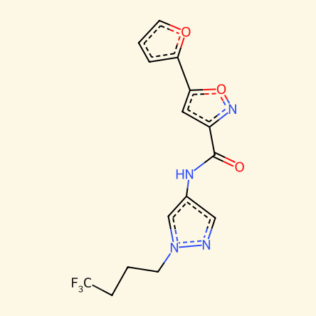 O=C(Nc1cnn(CCCC(F)(F)F)c1)c1cc(-c2ccco2)on1